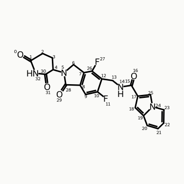 O=C1CCC(N2Cc3c(cc(F)c(CNC(=O)c4cc5ccccn5c4)c3F)C2=O)C(=O)N1